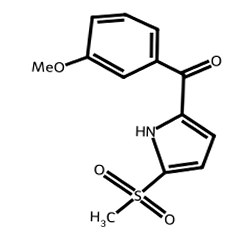 COc1cccc(C(=O)c2ccc(S(C)(=O)=O)[nH]2)c1